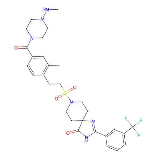 CNN1CCN(C(=O)c2ccc(CCS(=O)(=O)N3CCC4(CC3)N=C(c3cccc(C(F)(F)F)c3)NC4=O)c(C)c2)CC1